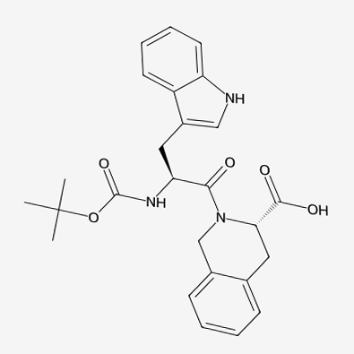 CC(C)(C)OC(=O)N[C@@H](Cc1c[nH]c2ccccc12)C(=O)N1Cc2ccccc2C[C@H]1C(=O)O